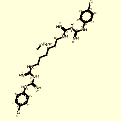 CCCCCC.N=C(NCCCCCCNC(=N)NC(=N)Nc1ccc(Cl)cc1)NC(=N)Nc1ccc(Cl)cc1